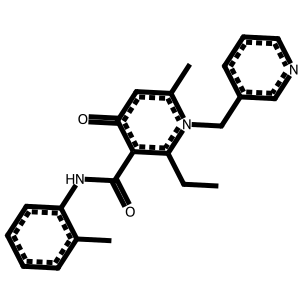 CCc1c(C(=O)Nc2ccccc2C)c(=O)cc(C)n1Cc1cccnc1